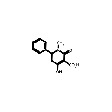 CN1C(=O)C(C(=O)O)=C(O)CC1c1ccccc1